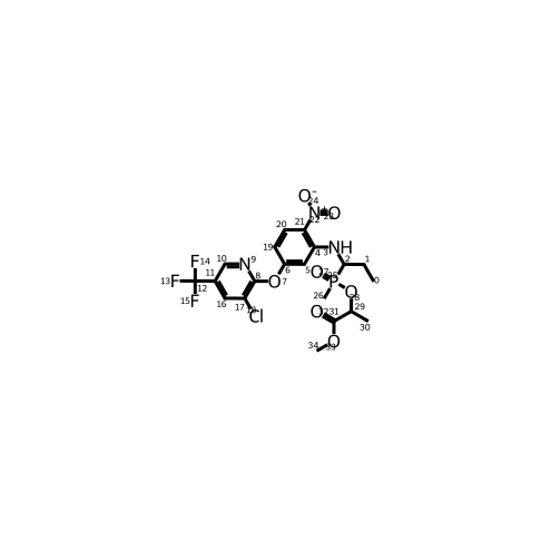 CCC(Nc1cc(Oc2ncc(C(F)(F)F)cc2Cl)ccc1[N+](=O)[O-])P(C)(=O)OC(C)C(=O)OC